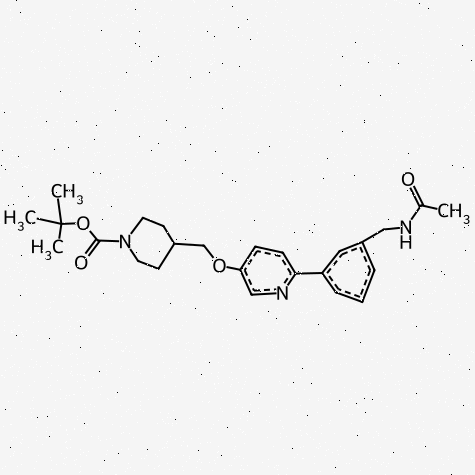 CC(=O)NCc1cccc(-c2ccc(OCC3CCN(C(=O)OC(C)(C)C)CC3)cn2)c1